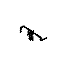 CCCC/C=C\C/C=C\CCCCCCCCN(CCCCCCCC/C=C\C/C=C\CCCCC)N(CCCCN(C)C)C(=O)C(CC)CCCCC